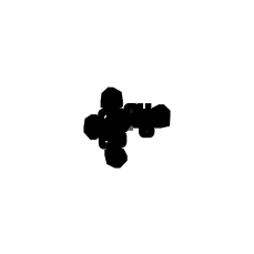 O=C(OC[C@@H](O)[C@H]1C2C(OC(=O)c3ccccc3)[C@H](Sc3ccccc3)OC21OC(=O)c1ccccc1)c1ccccc1